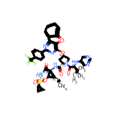 C=C[C@@H]1C[C@]1(NC(=O)[C@@H]1C[C@@H](Oc2nc(-c3ccc(C(F)(F)F)cc3)nc3c2oc2ccccc23)CN1C(=O)[C@@H](Nc1cncnc1)C(C)(C)C)C(=O)NS(=O)(=O)C1CC1